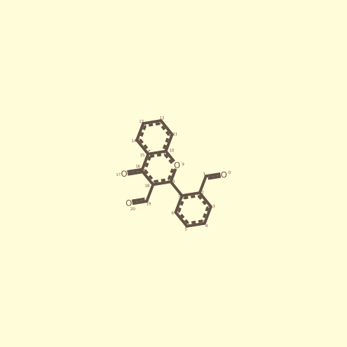 O=Cc1ccccc1-c1oc2ccccc2c(=O)c1C=O